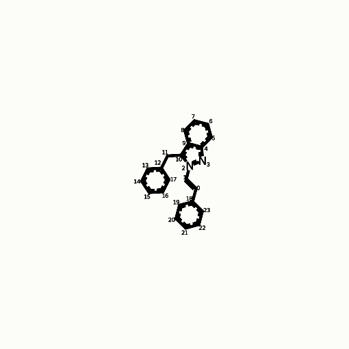 C(=Cn1nc2ccccc2c1Cc1ccccc1)c1ccccc1